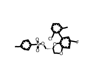 Cc1ccc(S(=O)(=O)OC[C@H]2COc3cc(F)cc(-c4c(C)cccc4Cl)c3O2)cc1